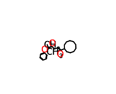 CC(C)(Oc1ccccc1)C(=O)CCC(=O)C1CCCCCCCCC1